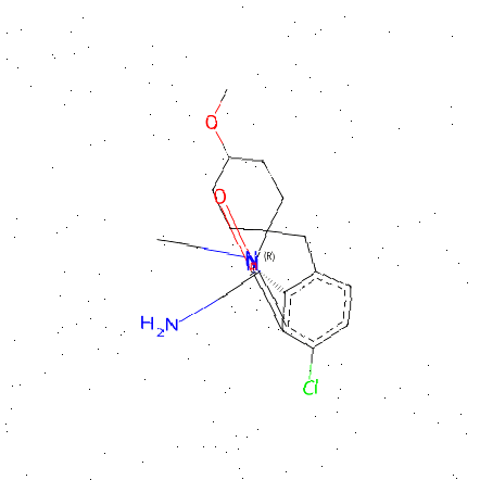 COC1CCC2(CC1)Cc1ccc(Cl)cc1[C@]21N=C(N)N(C)C1=O